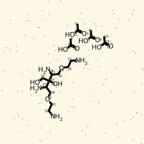 CC(=O)O.CC(=O)O.CC(=O)O.CC(=O)O.NCCOCC(N)C(O)(CO)C(N)COCCN